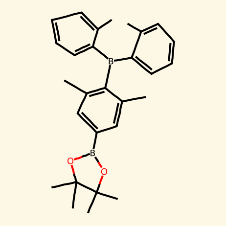 Cc1ccccc1B(c1ccccc1C)c1c(C)cc(B2OC(C)(C)C(C)(C)O2)cc1C